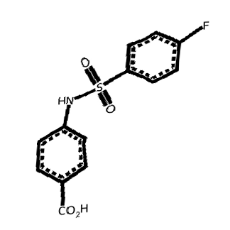 O=C(O)c1ccc(NS(=O)(=O)c2ccc(F)cc2)cc1